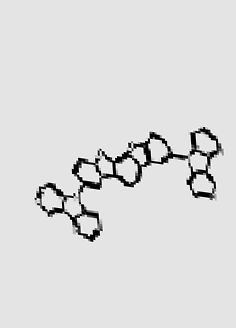 C1=CC2Oc3c(ccc4c3oc3ccc(-n5c6ccncc6c6ncccc65)cc34)C2C=C1n1c2ccncc2c2ncccc21